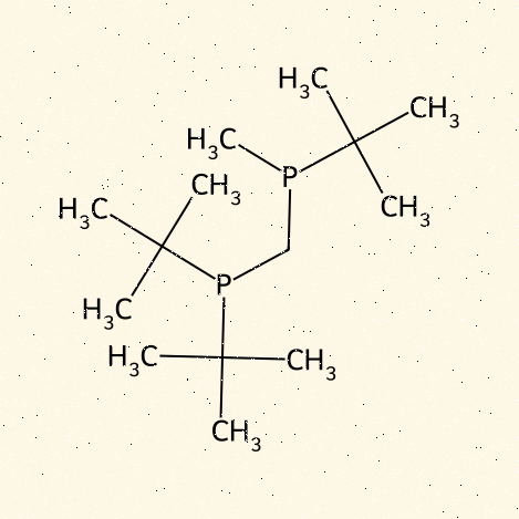 CP(CP(C(C)(C)C)C(C)(C)C)C(C)(C)C